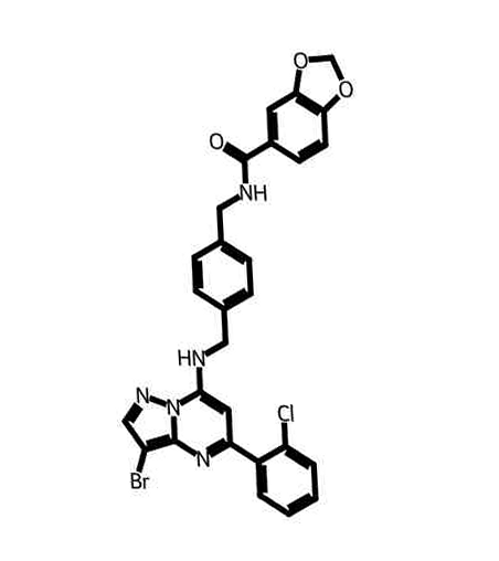 O=C(NCc1ccc(CNc2cc(-c3ccccc3Cl)nc3c(Br)cnn23)cc1)c1ccc2c(c1)OCO2